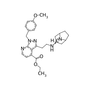 CCOC(=O)c1ccnc2c1c(CCNC1CC3CCC(C1)N3C)nn2Cc1ccc(OC)cc1